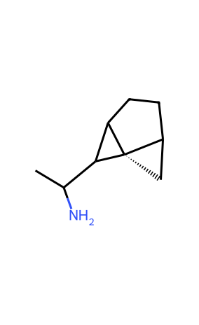 CC(N)C1C2CCC3C[C@@]321